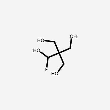 OCC(CO)(CO)C(O)F